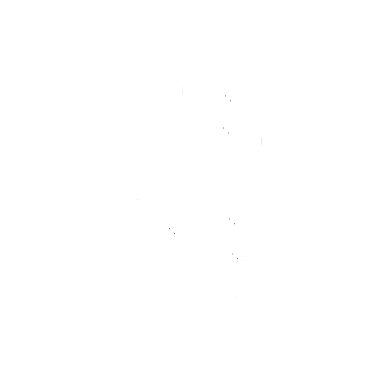 Cc1cn(-c2ccc(-c3csc(Nc4cc(N(C)CC5CC5)ccc4C)n3)cc2F)cn1